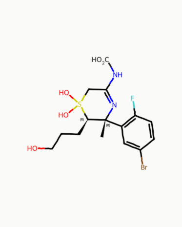 C[C@]1(c2cc(Br)ccc2F)N=C(NC(=O)O)CS(O)(O)[C@@H]1CCCO